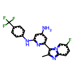 Cc1nc2ccc(F)cn2c1-c1cc(N)cc(Nc2ccc(C(F)(F)F)cc2)n1